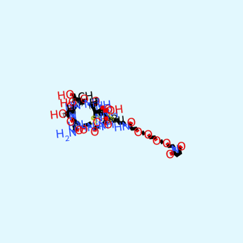 CC[C@H](C)[C@@H]1NC(=O)CNC(=O)[C@@H]2Cc3c([nH]c4c(CSCCCCNC(=O)CCOCCOCCOCCOCCN5C(=O)C=CC5=O)c(O)ccc34)[S+]([O-])CC(NC(=O)CNC1=O)C(=O)N[C@@H](CC(N)=O)C(=O)N1C[C@H](O)C[C@H]1C(=O)N[C@@H]([C@@H](C)[C@@H](O)CO)C(=O)N2